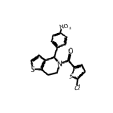 O=C(c1ccc(Cl)s1)N1CCc2sccc2C1c1ccc([N+](=O)[O-])cc1